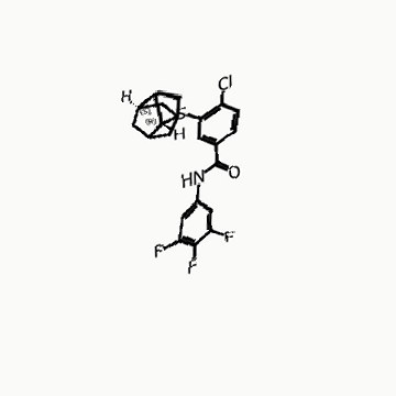 O=C(Nc1cc(F)c(F)c(F)c1)c1ccc(Cl)c(S[C@@H]2C3CC4CC2[C@@H](C4)C3)c1